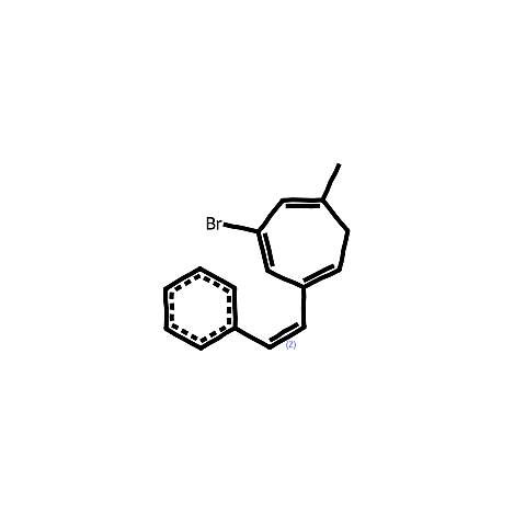 CC1=CC(Br)=CC(/C=C\c2ccccc2)=CC1